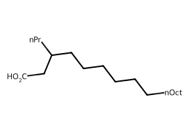 CCCCCCCCCCCCCCC(CCC)CC(=O)O